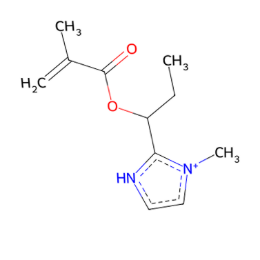 C=C(C)C(=O)OC(CC)c1[nH]cc[n+]1C